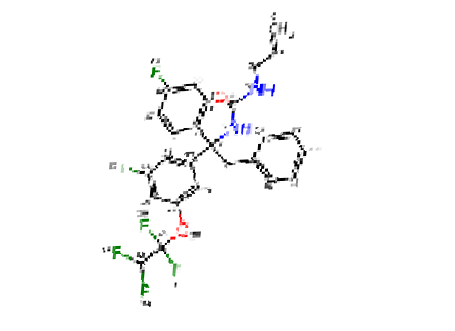 C=CCNC(=O)NC(Cc1ccccc1)(c1ccc(F)cc1)c1cc(F)cc(OC(F)(F)C(F)F)c1